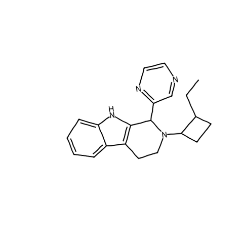 CCC1CCC1N1CCc2c([nH]c3ccccc23)C1c1cnccn1